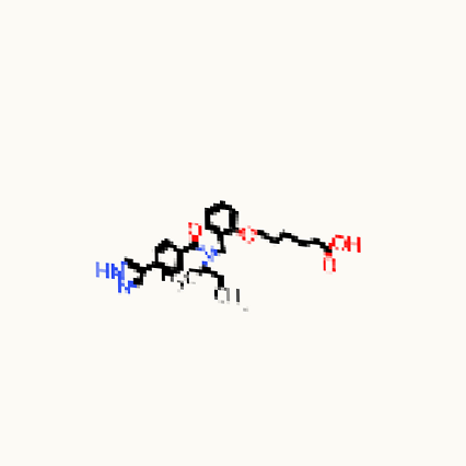 CCC(C)N(Cc1ccccc1OCCCCCC(=O)O)C(=O)c1ccc(-c2cn[nH]c2)cc1